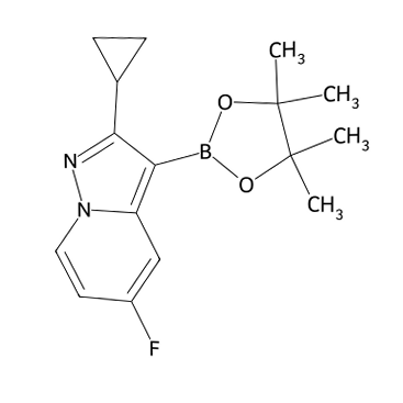 CC1(C)OB(c2c(C3CC3)nn3ccc(F)cc23)OC1(C)C